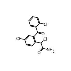 NC(=O)C(Cl)c1ccc(Cl)cc1C(=O)c1ccccc1Cl